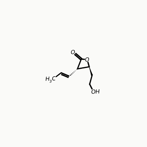 C/C=C/[C@@H]1C(=O)O[C@H]1CCO